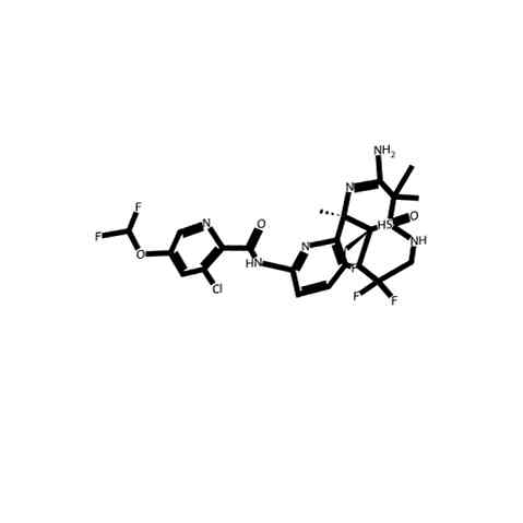 CC1(C)C(N)=N[C@](C)(c2nc(NC(=O)c3ncc(OC(F)F)cc3Cl)ccc2F)[C@H]2CC(F)(F)CN[SH]21=O